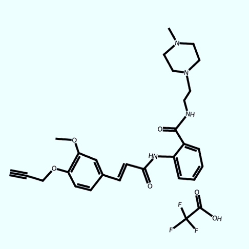 C#CCOc1ccc(/C=C/C(=O)Nc2ccccc2C(=O)NCCN2CCN(C)CC2)cc1OC.O=C(O)C(F)(F)F